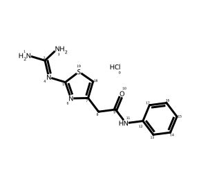 Cl.NC(N)=Nc1nc(CC(=O)Nc2ccccc2)cs1